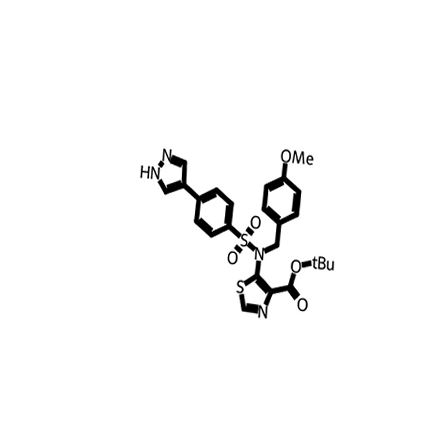 COc1ccc(CN(c2scnc2C(=O)OC(C)(C)C)S(=O)(=O)c2ccc(-c3cn[nH]c3)cc2)cc1